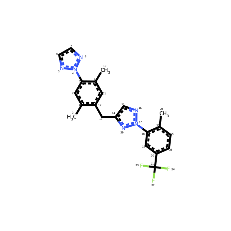 Cc1cc(-n2nccn2)c(C)cc1Cc1cnn(-c2cc(C(F)(F)F)ccc2C)n1